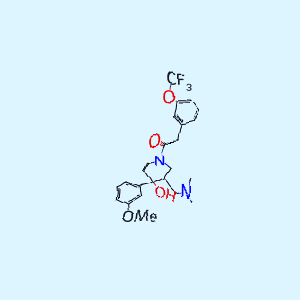 COc1cccc(C2(O)CCN(C(=O)Cc3cccc(OC(F)(F)F)c3)CC2CN(C)C)c1